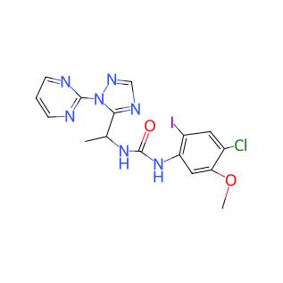 COc1cc(NC(=O)NC(C)c2ncnn2-c2ncccn2)c(I)cc1Cl